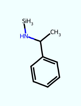 CC(N[SiH3])c1ccccc1